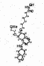 COCCOc1cc2c(Nc3ccc4occc4c3)ncnc2cc1OCCCCCCC(=O)NO